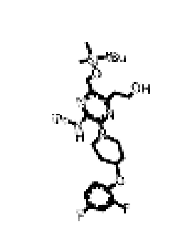 CC(C)Nc1nc(CO[Si](C)(C)C(C)(C)C)c(CCO)nc1N1CCC(Oc2ccc(F)cc2F)CC1